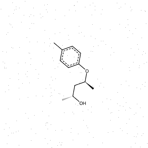 Cc1ccc(O[C@@H](C)C[C@@H](C)O)cc1